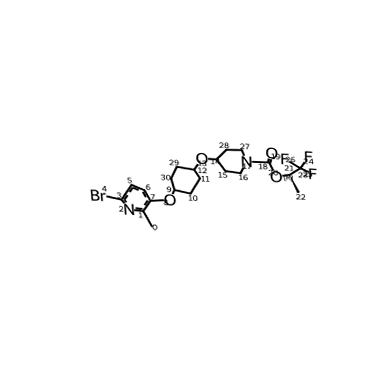 Cc1nc(Br)ccc1OC1CCC(OC2CCN(C(=O)O[C@H](C)C(F)(F)F)CC2)CC1